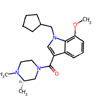 COc1cccc2c(C(=O)N3CCN(C)[C@@H](C)C3)cn(CC3CCCC3)c12